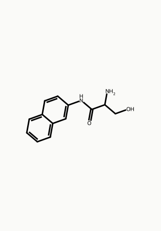 NC(CO)C(=O)Nc1ccc2ccccc2c1